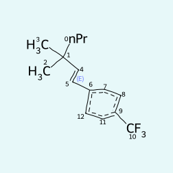 CCCC(C)(C)/C=C/c1ccc(C(F)(F)F)cc1